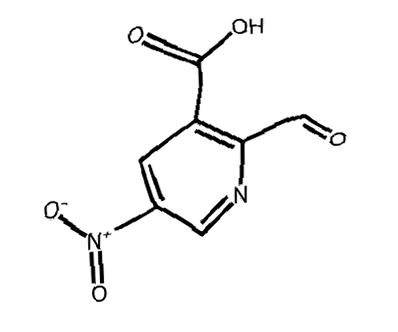 O=Cc1ncc([N+](=O)[O-])cc1C(=O)O